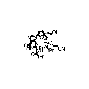 CC(C)C(=O)Nc1nc2c(ncn2[C@H]2CC[C@@](CCO)(COP(OCCC#N)N(C(C)C)C(C)C)O2)c(=O)[nH]1